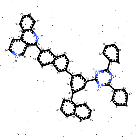 c1ccc(-c2nc(-c3ccccc3)nc(-c3cc(-c4ccc5cc(-c6nc7ccccc7c7ccncc67)ccc5c4)cc(-c4cccc5ccccc45)c3)n2)cc1